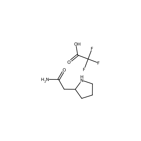 NC(=O)CC1CCCN1.O=C(O)C(F)(F)F